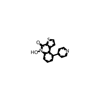 O=c1c2sccc2c2c(-c3ccncc3)cccc2n1O